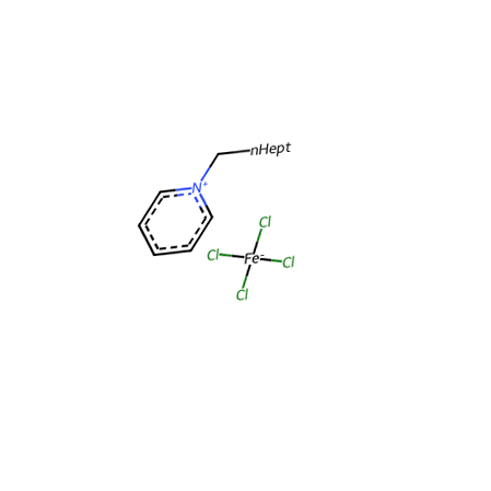 CCCCCCCC[n+]1ccccc1.[Cl][Fe-]([Cl])([Cl])[Cl]